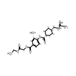 CCOC(=O)COC(=O)c1ccc(OC(=O)[C@H]2CC[C@H](CNC(=N)N)CC2)cc1.Cl